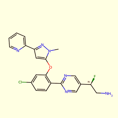 Cn1nc(-c2ccccn2)cc1Oc1cc(Cl)ccc1-c1ncc([C@@H](F)CN)cn1